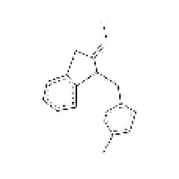 CO/N=C1\Cc2ccccc2C1Cc1ccc(Cl)s1